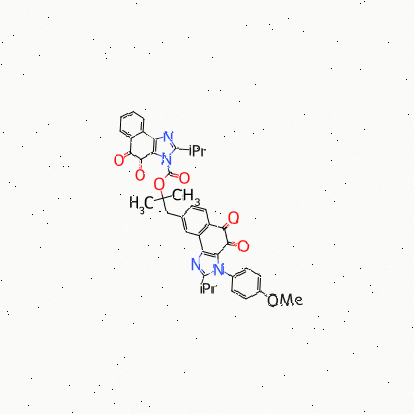 COc1ccc(-n2c(C(C)C)nc3c2C(=O)C(=O)c2ccc(CC(C)(C)OC(=O)n4c(C(C)C)nc5c4C(=O)C(=O)c4ccccc4-5)cc2-3)cc1